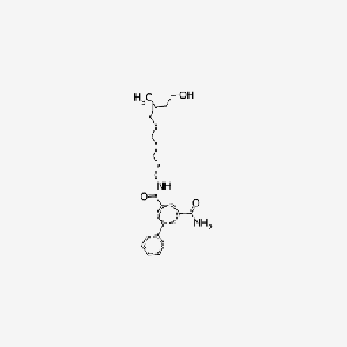 CN(CCO)CCCCCCCNC(=O)c1cc(C(N)=O)cc(-c2ccccc2)c1